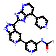 CCC(=O)Nc1cncc(-c2cc3c(-c4nc5c(-c6ccncc6)ccnc5[nH]4)n[nH]c3cn2)c1